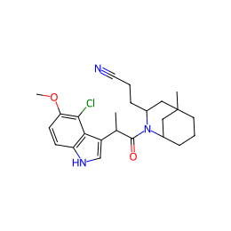 COc1ccc2[nH]cc(C(C)C(=O)N3C(CCC#N)CC4(C)CCCC3C4)c2c1Cl